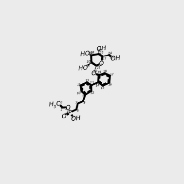 CCOP(=O)(O)CCCc1cccc(-c2ccccc2O[C@H]2O[C@H](CO)[C@@H](O)[C@H](O)[C@@H]2O)c1